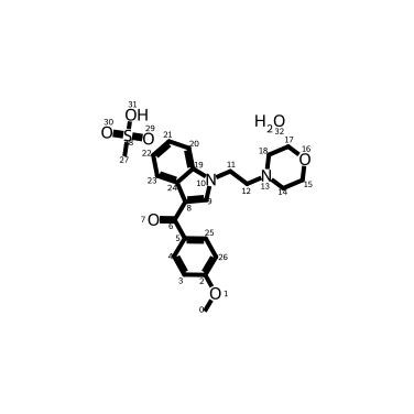 COc1ccc(C(=O)c2cn(CCN3CCOCC3)c3ccccc23)cc1.CS(=O)(=O)O.O